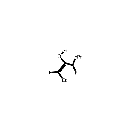 CCCC(F)/C(OCC)=C(/F)CC